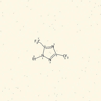 CCn1nc(C(F)(F)F)nc1C(F)(F)F